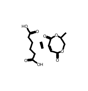 C=C.CC1COC(=O)C=CC(=O)O1.O=C(O)CCCCC(=O)O